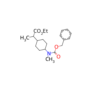 CCOC(=O)C(C)C1CCC(N(C)C(=O)OCc2ccccc2)CC1